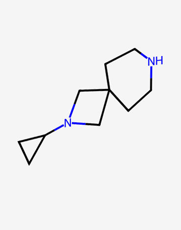 C1CC2(CCN1)CN(C1CC1)C2